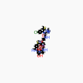 Cc1sc2c(c1C)C(c1ccc(Cl)cc1)=N[C@@H](CC(=O)N[C@H]1C[C@H](OC3CCN(CC(=O)NC(C(=O)N4C[C@H](O)C[C@H]4C(=O)N[C@@H](C)c4ccc(-c5scnc5CO)cc4)C(C)(C)C)CC3)C1)c1nnc(C)n1-2